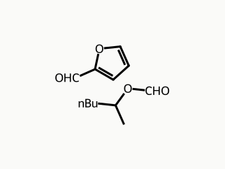 CCCCC(C)OC=O.O=Cc1ccco1